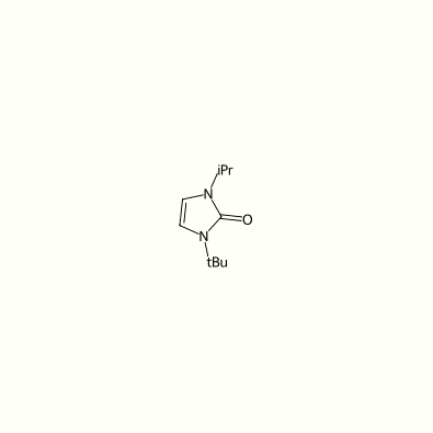 CC(C)n1ccn(C(C)(C)C)c1=O